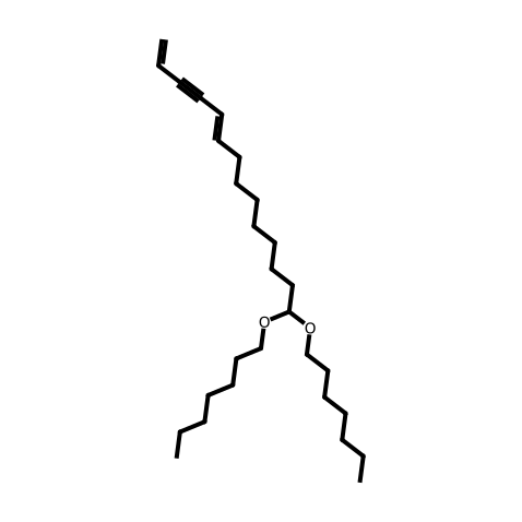 C=CC#C/C=C/CCCCCCCC(OCCCCCCC)OCCCCCCC